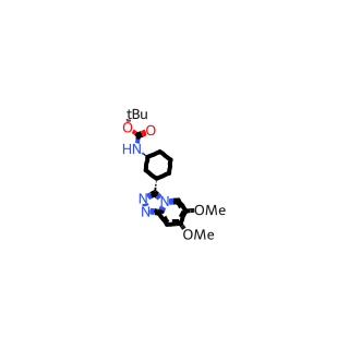 COc1cc2nnc([C@H]3CCC[C@@H](NC(=O)OC(C)(C)C)C3)n2cc1OC